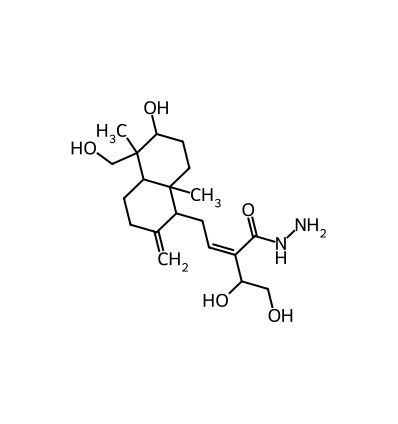 C=C1CCC2C(C)(CO)C(O)CCC2(C)C1CC=C(C(=O)NN)C(O)CO